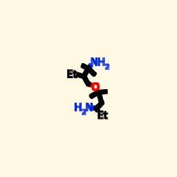 CCC(N)CC(C)(C)OCC(CC)C(C)(C)N